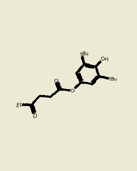 CCC(=O)CCC(=O)Oc1cc(C(C)(C)C)c(O)c(C(C)(C)C)c1